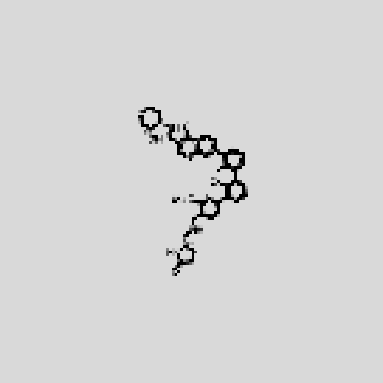 COc1nc(-c2cccc(-c3cccc(-c4ccn5c(=O)c(CN[C@H]6CCOC[C@H]6O)cnc5c4)c3Cl)c2Cl)ccc1CNC[C@@H]1CCC(=O)N1